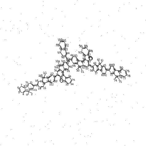 CC1(C)c2ccccc2-c2ccc(-c3ccc4c(c3)C(C)(C)c3cc(-c5cc6c(c7c5oc5ccccc57)-c5ccc(N(c7ccc8c(c7)C(C)(C)c7cc(-c9ccc%10c(c9)C(C)(C)c9cc(-c%11ccc%12c(c%11)C(C)(C)c%11ccccc%11-%12)ccc9-%10)c9oc%10ccccc%10c9c7-8)c7ccc8ccccc8c7)cc5C6(C)C)ccc3-4)cc21